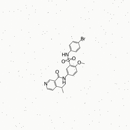 COc1ccc(NC(=O)c2cnccc2C(C)C)cc1S(=O)(=O)Nc1ccc(Br)cc1